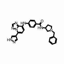 O=C(NC1CCN(Cc2ccccc2)C1)c1ccc(Nc2ccc(-c3cn[nH]c3)n3ncnc23)cc1